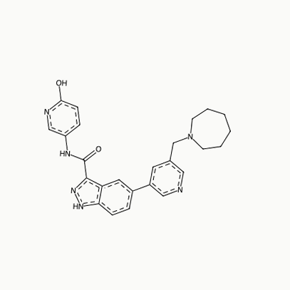 O=C(Nc1ccc(O)nc1)c1n[nH]c2ccc(-c3cncc(CN4CCCCCC4)c3)cc12